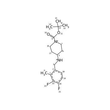 Cc1c(CNC2CCN(C(=O)OC(C)(C)C)CC2)ccc(F)c1F